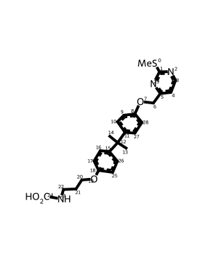 CSc1nccc(COc2ccc(C(C)(C)c3ccc(OCCCNC(=O)O)cc3)cc2)n1